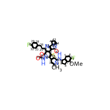 COc1c(F)ccc2c1CC[C@H]2Nc1nc(C)cc2cc(-c3c4c(nc(CCc5ccc(F)cc5)c3-c3n[nH]c(=O)o3)C35CC(CN3C4=O)C5)sc12